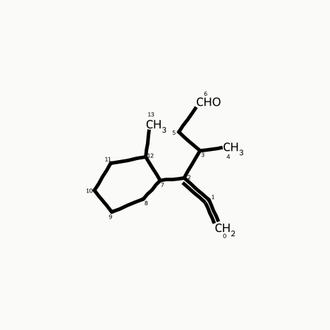 C=C=C(C(C)CC=O)C1CCCCC1C